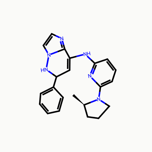 C[C@@H]1CCCN1c1cccc(NC2=CC(c3ccccc3)Nn3ccnc32)n1